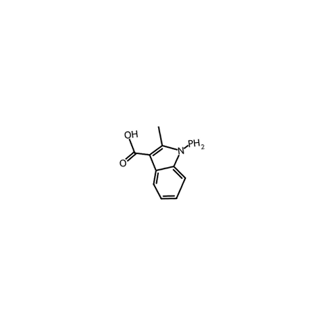 Cc1c(C(=O)O)c2ccccc2n1P